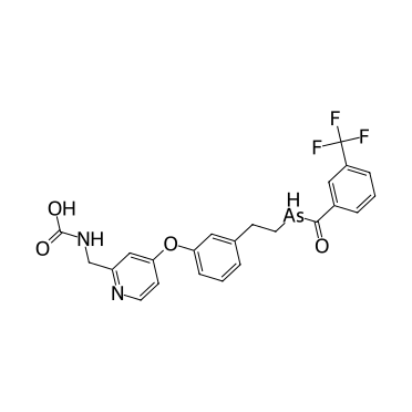 O=C(O)NCc1cc(Oc2cccc(CC[AsH]C(=O)c3cccc(C(F)(F)F)c3)c2)ccn1